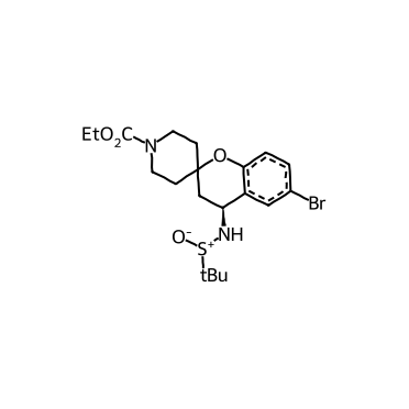 CCOC(=O)N1CCC2(CC1)C[C@H](N[S+]([O-])C(C)(C)C)c1cc(Br)ccc1O2